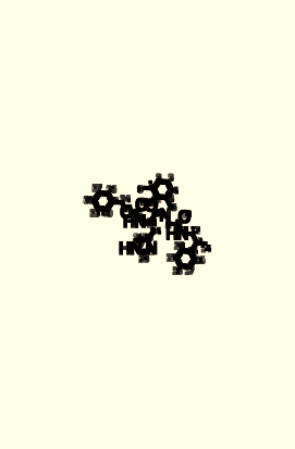 Cc1cccc(CN(CC(=O)NCC(C)c2ccccc2)C(=O)[C@H](Cc2c[nH]cn2)NC(=O)OCc2ccccc2)c1